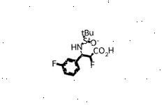 CC(C)(C)[S+]([O-])N[C@@H](c1cccc(F)c1)[C@H](F)C(=O)O